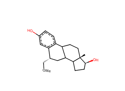 COC[C@H]1CC2C(CC[C@@]3(C)C2CC[C@@H]3O)c2ccc(O)cc21